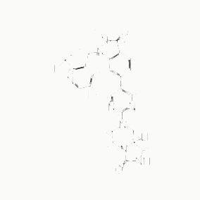 Cc1cnc(C(F)(F)F)c(Cn2c3cc(-c4cnc(N5CCN6C(=O)NC[C@H]6C5)nc4)ccc3c(=O)n2C)c1